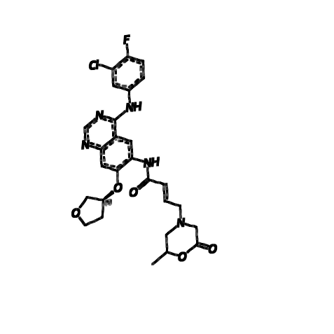 CC1CN(CC=CC(=O)Nc2cc3c(Nc4ccc(F)c(Cl)c4)ncnc3cc2O[C@H]2CCOC2)CC(=O)O1